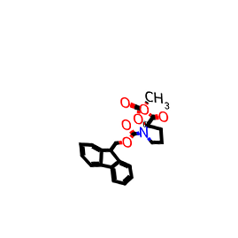 COC(=O)[C@]1(OC=O)CCCN1C(=O)OCC1c2ccccc2-c2ccccc21